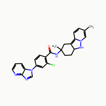 CC1=CN2NC3CCC(C)(NC(=O)c4ccc(-n5cnc6ncccc65)cc4Cl)CC3=C2C=C1